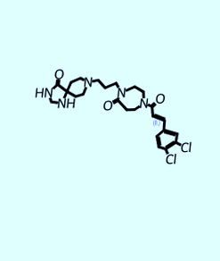 O=C(/C=C/c1ccc(Cl)c(Cl)c1)N1CCC(=O)N(CCCN2CCC3(CC2)NCNC3=O)CC1